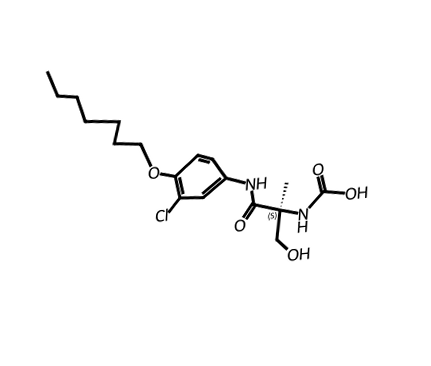 CCCCCCCOc1ccc(NC(=O)[C@](C)(CO)NC(=O)O)cc1Cl